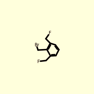 FCc1cccc(CF)c1CBr